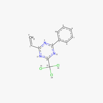 C=Cc1nc(-c2ccccc2)nc(C(Cl)(Cl)Cl)n1